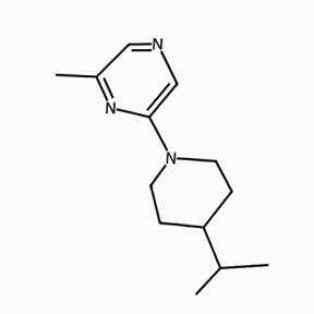 Cc1cncc(N2CCC(C(C)C)CC2)n1